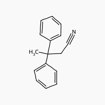 CC(CC#N)(c1ccccc1)c1ccccc1